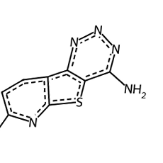 Cc1ccc2c(n1)sc1c(N)nnnc12